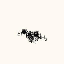 CCn1cc(Nc2ncc(C(F)(F)F)c(N[C@H]3[C@@H](C(N)=O)[C@@H]4C=C[C@H]3C4)n2)cn1